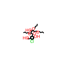 CCCCOCC1OC(c2cc(CO)c(Cl)cc2O)[C@H](OCCCC)C(O)[C@@H]1OCCCC